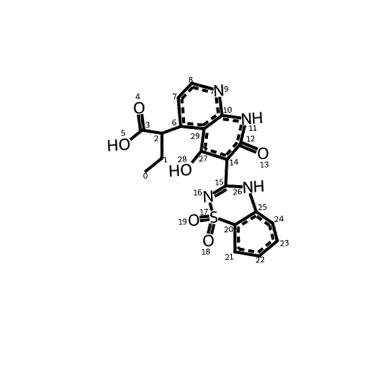 CCC(C(=O)O)c1ccnc2[nH]c(=O)c(C3=NS(=O)(=O)c4ccccc4N3)c(O)c12